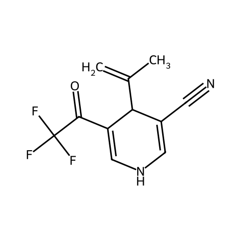 C=C(C)C1C(C#N)=CNC=C1C(=O)C(F)(F)F